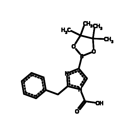 CC1(C)OB(c2cn(C(=O)O)c(Cc3ccccc3)n2)OC1(C)C